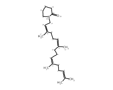 CC(C)=CCCC(C)=CCCC(C)=CCCC(C)=CCN1CCCCC1=O